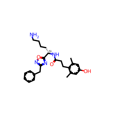 Cc1cc(O)cc(C)c1CCC(=O)N[C@@H](CCCCN)c1nc(Cc2ccccc2)no1